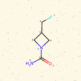 NC(=O)N1CC(CF)C1